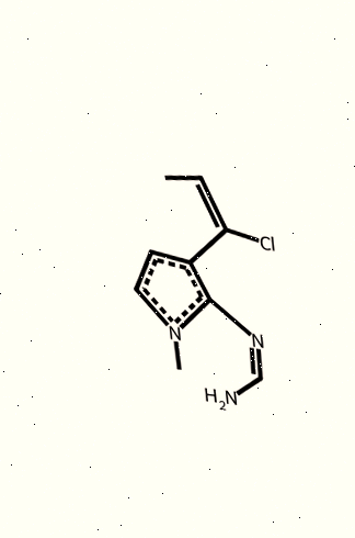 C/C=C(/Cl)c1ccn(C)c1/N=C\N